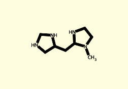 CN1CCNC1CC1CNCN1